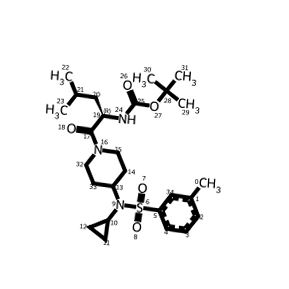 Cc1cccc(S(=O)(=O)N(C2CC2)C2CCN(C(=O)[C@@H](CC(C)C)NC(=O)OC(C)(C)C)CC2)c1